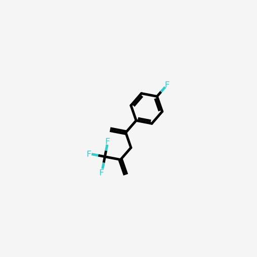 C=C(CC(=C)C(F)(F)F)c1ccc(F)cc1